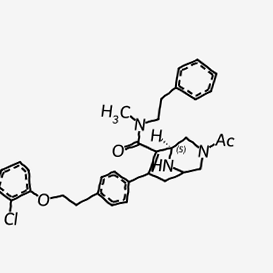 CC(=O)N1CC2CC(c3ccc(CCOc4ccccc4Cl)cc3)=C(C(=O)N(C)CCc3ccccc3)[C@@H](C1)N2